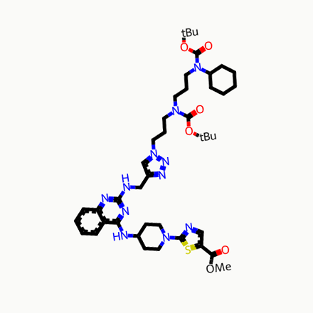 COC(=O)c1cnc(N2CCC(Nc3nc(NCc4cn(CCCN(CCCN(C(=O)OC(C)(C)C)C5CCCCC5)C(=O)OC(C)(C)C)nn4)nc4ccccc34)CC2)s1